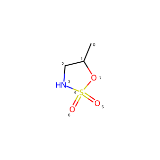 CC1CNS(=O)(=O)O1